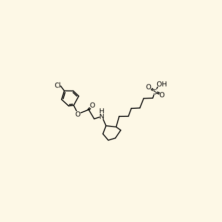 O=C(CNC1CCCCC1CCCCCCS(=O)(=O)O)Oc1ccc(Cl)cc1